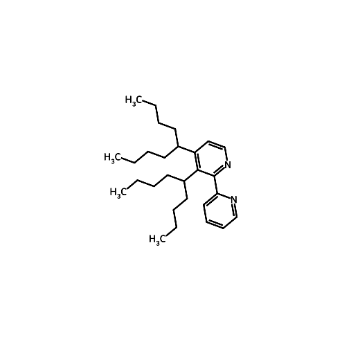 CCCCC(CCCC)c1ccnc(-c2ccccn2)c1C(CCCC)CCCC